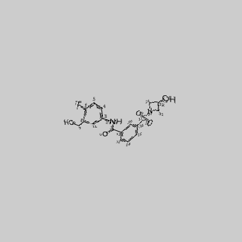 O=C(Nc1ccc(F)c(CO)c1)c1cccc(S(=O)(=O)N2CC(O)C2)c1